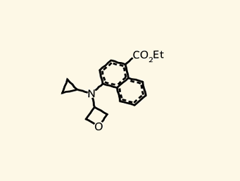 CCOC(=O)c1ccc(N(C2CC2)C2COC2)c2ccccc12